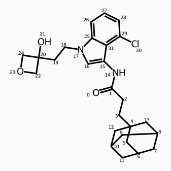 O=C(CCC12CC3CC(CC(C3)C1)C2)Nc1cn(CCC2(O)COC2)c2cccc(Cl)c12